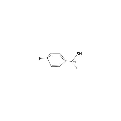 C[C@@H](S)c1ccc(F)cc1